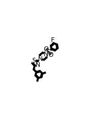 Cc1cc(C)cc(Cc2csc(N3CCN(S(=O)(=O)c4cccc(F)c4)CC3)n2)c1